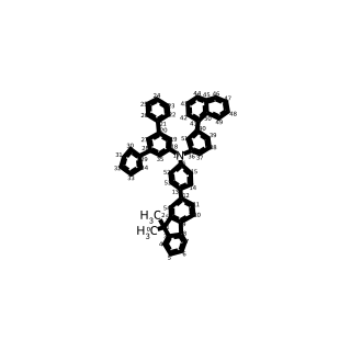 CC1(C)c2ccccc2-c2ccc(-c3ccc(N(c4cc(-c5ccccc5)cc(-c5ccccc5)c4)c4cccc(-c5cccc6ccccc56)c4)cc3)cc21